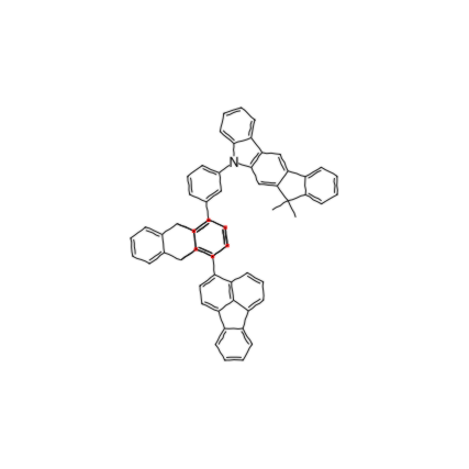 CC1(C)c2ccccc2-c2cc3c4ccccc4n(-c4cccc(-c5ccc(-c6ccc7c8c(cccc68)-c6ccccc6-7)c6c5C5c7ccccc7C6c6ccccc65)c4)c3cc21